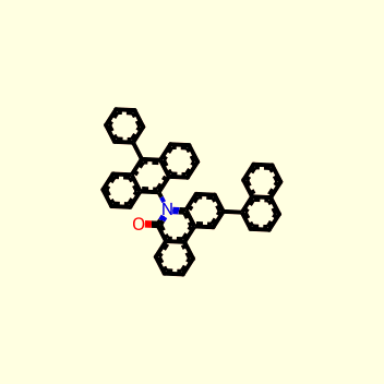 O=c1c2ccccc2c2cc(-c3cccc4ccccc34)ccc2n1-c1c2ccccc2c(-c2ccccc2)c2ccccc12